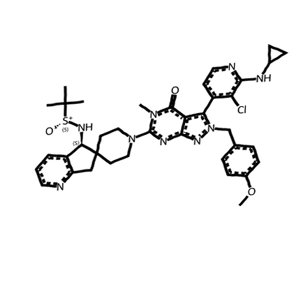 COc1ccc(Cn2nc3nc(N4CCC5(CC4)Cc4ncccc4[C@H]5N[S@+]([O-])C(C)(C)C)n(C)c(=O)c3c2-c2ccnc(NC3CC3)c2Cl)cc1